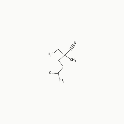 CCC(C)(C#N)CCC(C)=O